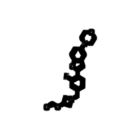 O=COC1CN(Cc2ccc(-c3cc4cc(N5CCOCC5)ccc4o3)c(F)c2)C1